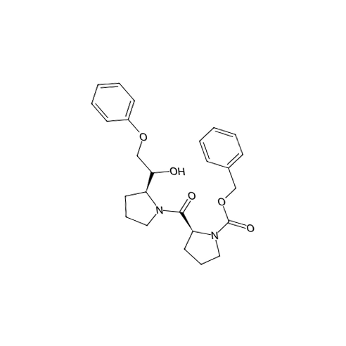 O=C(OCc1ccccc1)N1CCC[C@H]1C(=O)N1CCC[C@H]1C(O)COc1ccccc1